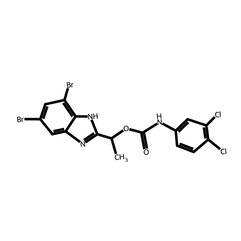 CC(OC(=O)Nc1ccc(Cl)c(Cl)c1)c1nc2cc(Br)cc(Br)c2[nH]1